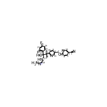 N#Cc1ccc(OCc2ccc(C(F)(F)C(O)(CN/C=N\N)c3ccc(F)cc3F)nc2)nc1